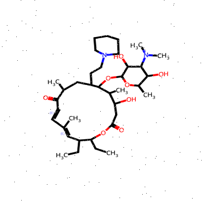 CCC1/C=C(C)/C=C/C(=O)C(C)CC(CCN2CCCCC2)C(OC2OC(C)C(O)C(N(C)C)C2O)C(C)C(O)CC(=O)OC1CC